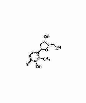 Cc1c(O)c(=S)ccn1[C@H]1CC(O)[C@@H](CO)O1